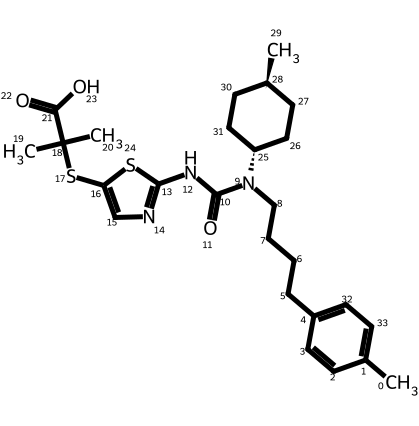 Cc1ccc(CCCCN(C(=O)Nc2ncc(SC(C)(C)C(=O)O)s2)[C@H]2CC[C@H](C)CC2)cc1